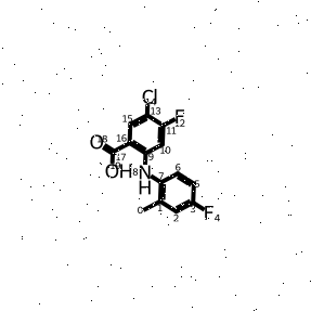 Cc1cc(F)ccc1Nc1cc(F)c(Cl)cc1C(=O)O